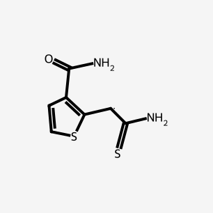 NC(=O)c1ccsc1[CH]C(N)=S